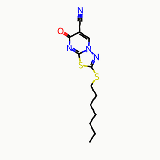 CCCCCCCSc1nn2cc(C#N)c(=O)nc2s1